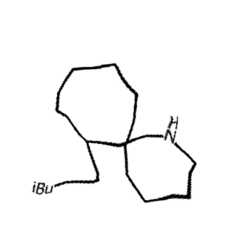 CCC(C)CC1CCCCC12CCCCN2